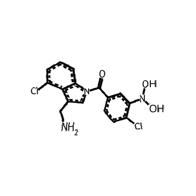 NCc1cn(C(=O)c2ccc(Cl)c(N(O)O)c2)c2cccc(Cl)c12